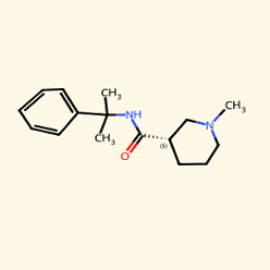 CN1CCC[C@H](C(=O)NC(C)(C)c2ccccc2)C1